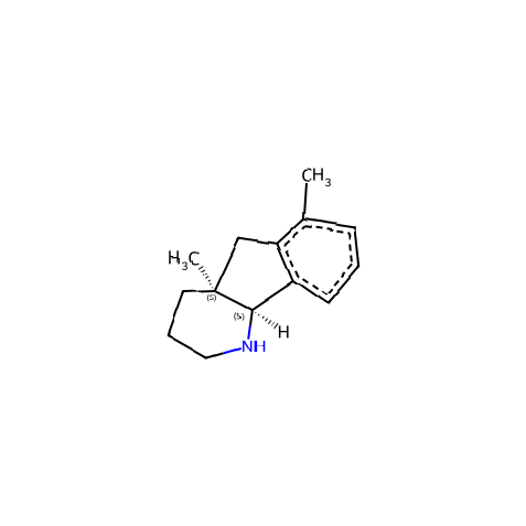 Cc1cccc2c1C[C@]1(C)CCCN[C@H]21